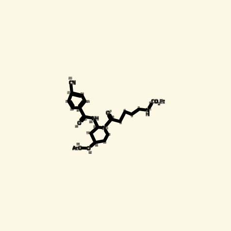 CCOC(=O)NCCCCC(=O)N1CCC(OOC(C)=O)CC1NC(=O)c1ccc(C#N)cc1